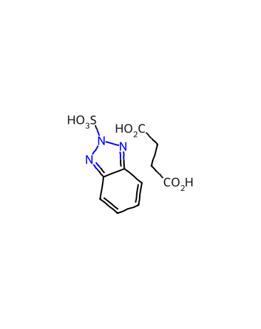 O=C(O)CCC(=O)O.O=S(=O)(O)n1nc2ccccc2n1